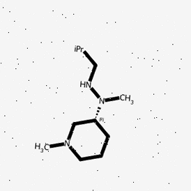 CC(C)CNN(C)[C@@H]1CCCN(C)C1